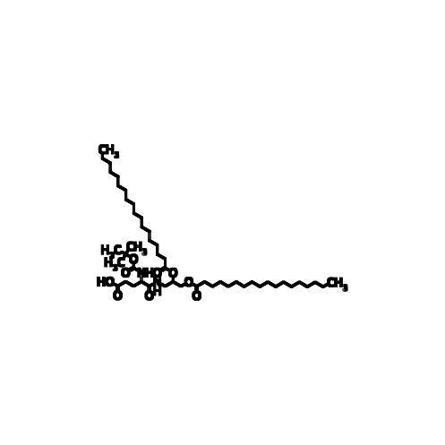 CCCCCCCCCCCCCCCCCC(=O)OCC(CNC(=O)C(CCC(=O)O)NC(=O)OC(C)(C)C)OC(=O)CCCCCCCCCCCCCCCCC